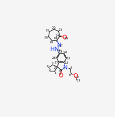 CCC1(CC)C(=O)N(CCOC)c2ccc(N/N=C3\CCCCCC3=O)cc21